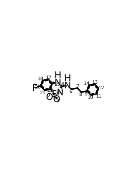 O=S1(=O)N=C(NCCCc2ccccc2)Nc2ccc(F)cc21